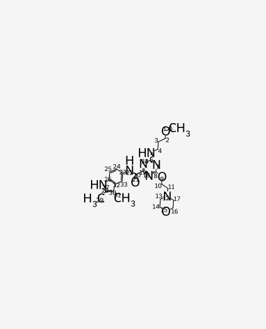 COCCCNc1nc(OCCN2CCOCC2)nc(C(=O)Nc2ccc3[nH]c(C)c(C)c3c2)n1